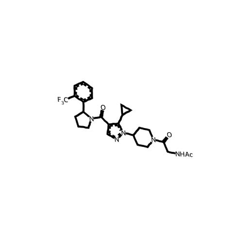 CC(=O)NCC(=O)N1CCC(n2ncc(C(=O)N3CCCC3c3ccccc3C(F)(F)F)c2C2CC2)CC1